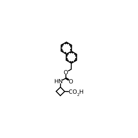 O=C(NC1CCC1C(=O)O)OCc1ccc2ccccc2c1